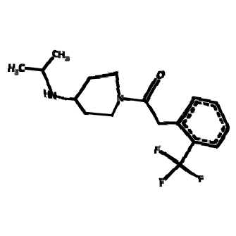 CC(C)NC1CCN(C(=O)Cc2ccccc2C(F)(F)F)CC1